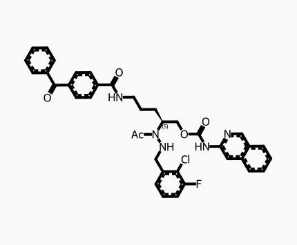 CC(=O)N(NCc1cccc(F)c1Cl)[C@@H](CCCNC(=O)c1ccc(C(=O)c2ccccc2)cc1)COC(=O)Nc1cc2ccccc2cn1